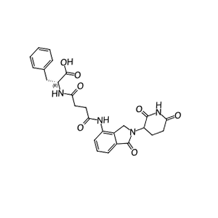 O=C1CCC(N2Cc3c(NC(=O)CCC(=O)N[C@H](Cc4ccccc4)C(=O)O)cccc3C2=O)C(=O)N1